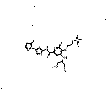 COCC(COC)Nc1cc(C(=O)Nc2nnc(-n3nccc3C)s2)oc(=O)c1OCCOS(C)(=O)=O